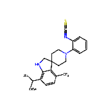 COC(c1ccc(C(F)(F)F)c2c1NCC21CCN(c2ccccc2N=C=S)CC1)C(C)(C)C